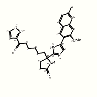 COc1cc2nc(C)ccc2cc1-c1cnc(C2(CCCCCC(=O)c3ccon3)CCC(=O)N2)[nH]1